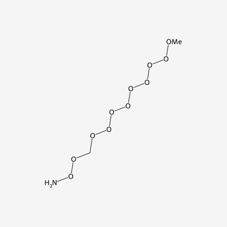 COOOOOOOOOCOON